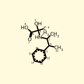 CC(NC(C)(O)C(=O)O)C(C)c1ccccc1